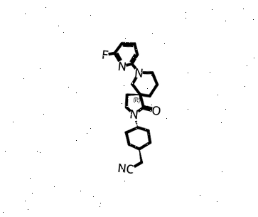 N#CC[C@H]1CC[C@H](N2CC[C@@]3(CCCN(c4cccc(F)n4)C3)C2=O)CC1